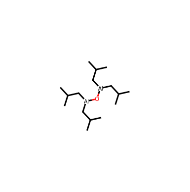 CC(C)[CH2][Al]([CH2]C(C)C)[O][Al]([CH2]C(C)C)[CH2]C(C)C